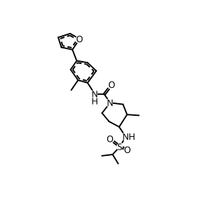 Cc1cc(-c2ccco2)ccc1NC(=O)N1CCC(NS(=O)(=O)C(C)C)C(C)C1